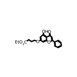 CCOC(=O)CCCOc1cc(O)c2c(=O)cc(-c3ccccc3)oc2c1